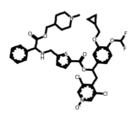 CN1CCC(COC(=O)C(NCc2ccc(C(=O)OC(Cc3c(Cl)c[n+]([O-])cc3Cl)c3ccc(OC(F)F)c(OCC4CC4)c3)s2)c2ccccc2)CC1